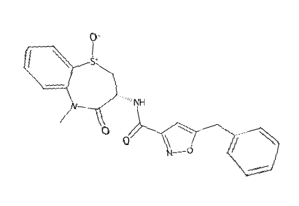 CN1C(=O)[C@@H](NC(=O)c2cc(Cc3ccccc3)on2)C[S+]([O-])c2ccccc21